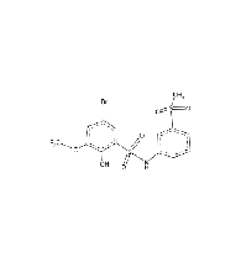 CS(=O)(=O)c1cccc(NS(=O)(=O)c2cc(Br)cc(OC(F)(F)F)c2O)c1